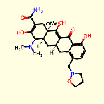 CO[C@@]12CC(C(N)=O)=C(O)[C@H](N(C)C)[C@@H]1C[C@@H]1Cc3c(CN4CCCO4)ccc(O)c3C(=O)C1=C2O